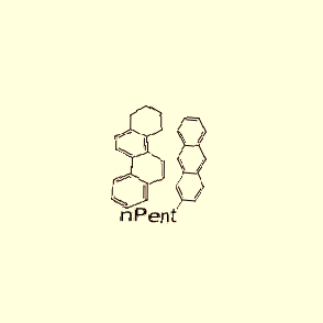 CCCCCc1ccc2cc3ccccc3cc2c1.c1ccc2c(c1)ccc1c3c(ccc12)CCCC3